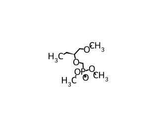 CC[C@@H](COC)OCP(=O)(OC)OC